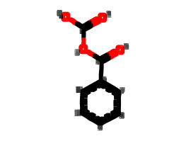 [O]C(=O)OC(=O)c1ccccc1